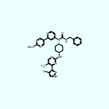 COc1ncc(-c2cc(N(C(=O)NCc3ccccc3)[C@H]3CC[C@H](Nc4ncc(C(F)(F)F)c(-c5n[nH]cc5Cl)n4)CC3)ccn2)cn1